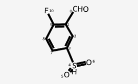 O=Cc1cc([SH](=O)=O)ccc1F